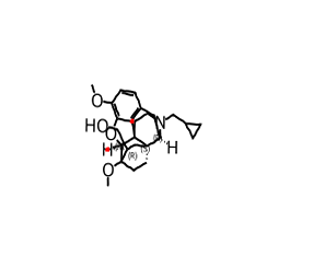 COc1ccc2c3c1O[C@H]1C4(OC)CC[C@@]5(C[C@]4(C)CO)[C@@H](C2)N(CC2CC2)CCC315